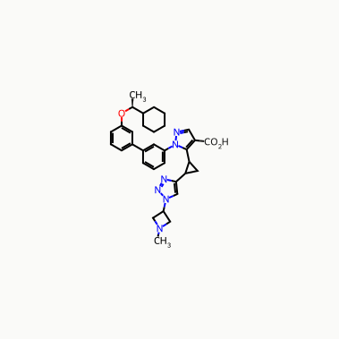 C[C@H](Oc1cccc(-c2cccc(-n3ncc(C(=O)O)c3C3CC3c3cn(C4CN(C)C4)nn3)c2)c1)C1CCCCC1